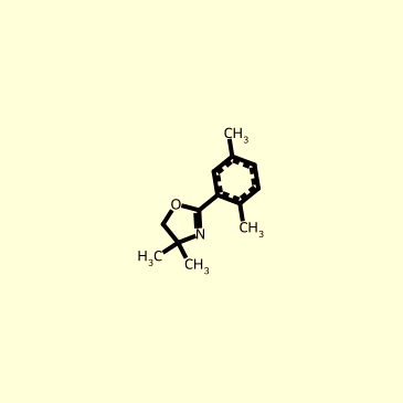 Cc1ccc(C)c(C2=NC(C)(C)CO2)c1